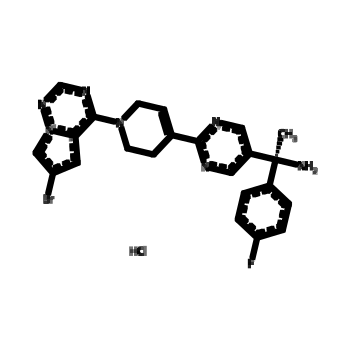 C[C@](N)(c1ccc(F)cc1)c1cnc(C2=CCN(c3ncnn4cc(Br)cc34)CC2)nc1.Cl